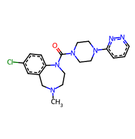 CN1CCN(C(=O)N2CCN(c3cccnn3)CC2)c2ccc(Cl)cc2C1